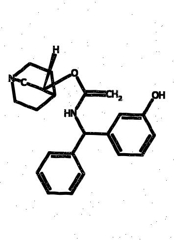 C=C(NC(c1ccccc1)c1cccc(O)c1)O[C@H]1CN2CCC1CC2